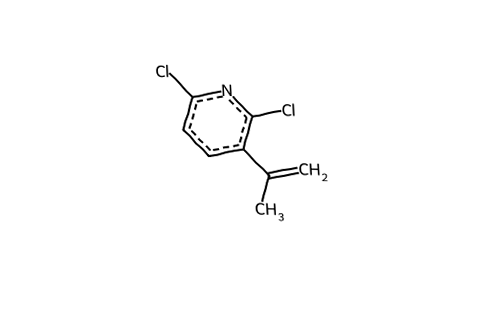 C=C(C)c1ccc(Cl)nc1Cl